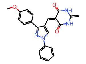 C=c1[nH]c(=O)c(=Cc2cn(-c3ccccc3)nc2-c2ccc(OC)cc2)c(=O)[nH]1